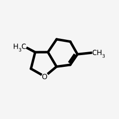 CC1=CC2OCC(C)C2CC1